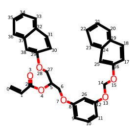 C=CC(=O)OC(COc1cccc(OCOc2ccc3ccccc3c2)c1)COc1ccc2ccccc2c1